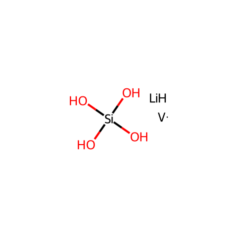 O[Si](O)(O)O.[LiH].[V]